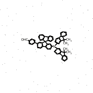 CC1(C)c2ccccc2-c2ccc(N(c3ccc4c(c3)C(C)(C)c3ccccc3-4)c3ccc4c(c3)C3(c5ccccc5-c5ccccc53)c3cc(-c5ccc(C=O)cc5)ccc3-4)cc21